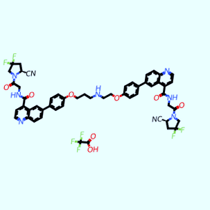 N#C[C@@H]1CC(F)(F)CN1C(=O)CNC(=O)c1ccnc2ccc(-c3ccc(OCCCNCCOc4ccc(-c5ccc6nccc(C(=O)NCC(=O)N7CC(F)(F)C[C@H]7C#N)c6c5)cc4)cc3)cc12.O=C(O)C(F)(F)F